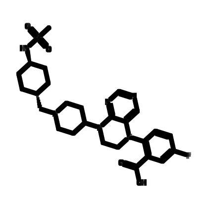 CS(=O)(=O)N[C@H]1CC[C@H](CN2CCC(N3CCN(c4ccc(F)cc4C(=O)O)c4cncnc43)CC2)CC1